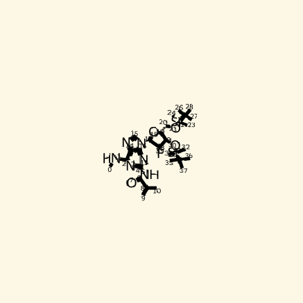 CNc1nc(NC(=O)C(C)C)nc2c1ncn2[C@@H]1O[C@H](CO[Si](C)(C)C(C)(C)C)C(O[Si](C)(C)C(C)(C)C)[C@H]1F